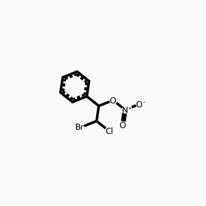 O=[N+]([O-])OC(c1ccccc1)C(Cl)Br